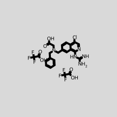 N=C(N)Nc1ncc(Cl)c2ccc(CN(CC(=O)O)Cc3ccccc3)cc12.O=C(O)C(F)(F)F.O=C(O)C(F)(F)F